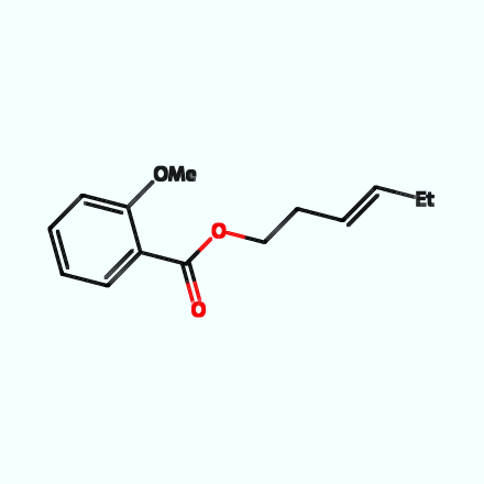 CCC=CCCOC(=O)c1ccccc1OC